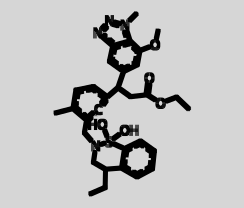 CCOC(=O)CC(c1ccc(C)c(CN2CC(CC)c3ccccc3S2(O)O)c1)c1cc(OC)c2c(c1)nnn2C